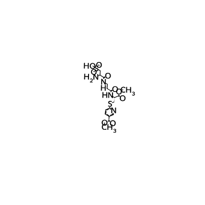 COC(=O)c1ccc(SC[C@H](NC(=O)CCNC(=O)C(N)CS(=O)(=O)O)C(=O)OC)nc1